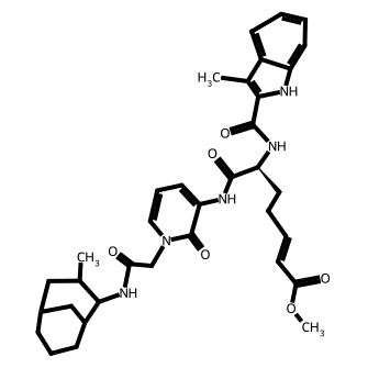 COC(=O)/C=C/CC[C@H](NC(=O)c1[nH]c2ccccc2c1C)C(=O)Nc1cccn(CC(=O)NC2C(C)CC3CCCC2C3)c1=O